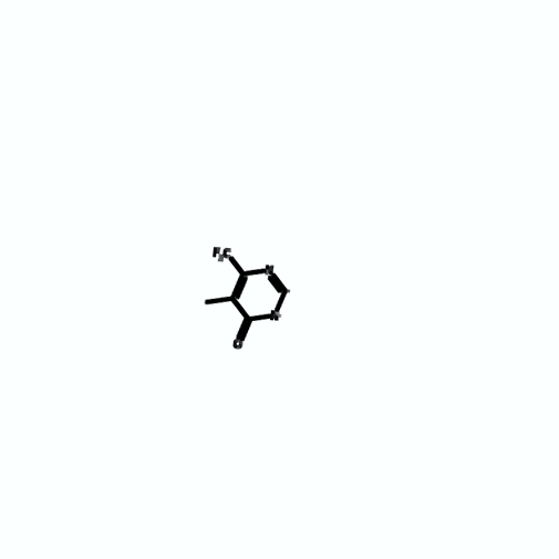 CC1=C(C(F)(F)F)N=[C][N]C1=O